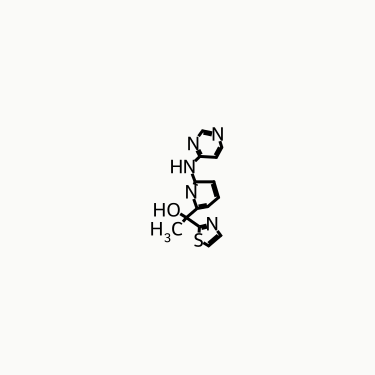 CC(O)(c1cccc(Nc2ccncn2)n1)c1nccs1